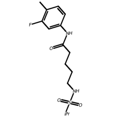 Cc1ccc(NC(=O)CCCCNS(=O)(=O)C(C)C)cc1F